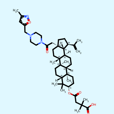 C=C(C)[C@@H]1CC[C@]2(CC(=O)N3CCN(Cc4cc(C)no4)CC3)CC[C@]3(C)[C@H](CC[C@@H]4[C@@]5(C)CC[C@H](OC(=O)CC(C)(C)C(=O)O)C(C)(C)[C@@H]5CC[C@]43C)[C@@H]12